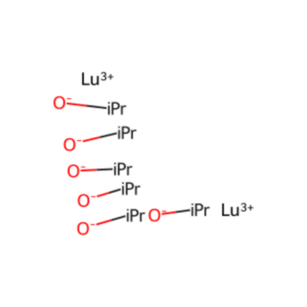 CC(C)[O-].CC(C)[O-].CC(C)[O-].CC(C)[O-].CC(C)[O-].CC(C)[O-].[Lu+3].[Lu+3]